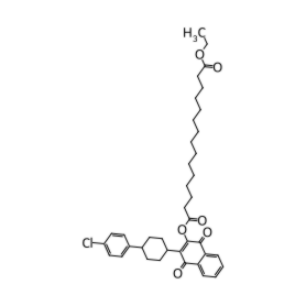 CCOC(=O)CCCCCCCCCCCCCC(=O)OC1=C(C2CCC(c3ccc(Cl)cc3)CC2)C(=O)c2ccccc2C1=O